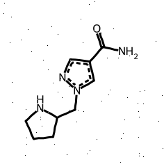 NC(=O)c1cnn(CC2CCCN2)c1